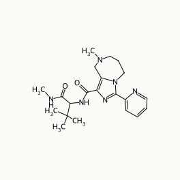 CNC(=O)C(NC(=O)c1nc(-c2ccccn2)n2c1CN(C)CCC2)C(C)(C)C